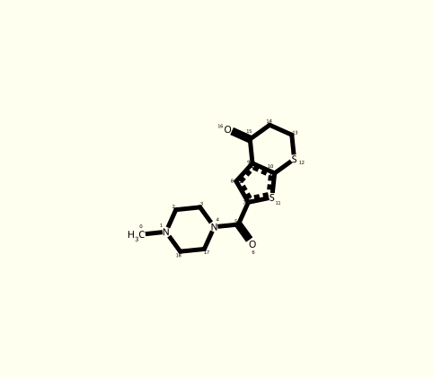 CN1CCN(C(=O)c2cc3c(s2)SCCC3=O)CC1